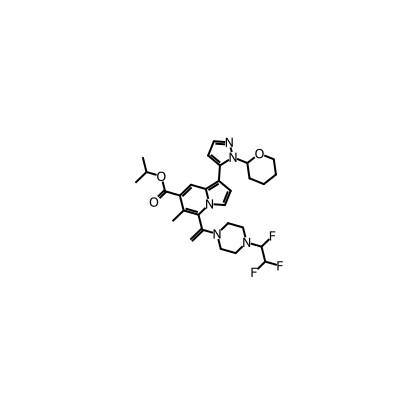 C=C(c1c(C)c(C(=O)OC(C)C)cc2c(-c3ccnn3C3CCCCO3)ccn12)N1CCN(C(F)C(F)F)CC1